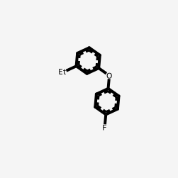 CCc1cccc(Oc2ccc(F)cc2)c1